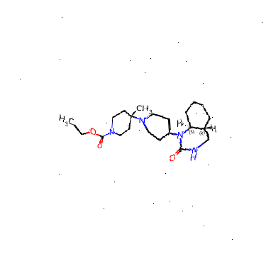 CCOC(=O)N1CCC(C)(N2CCC(N3C(=O)NC[C@H]4CCCC[C@@H]43)CC2)CC1